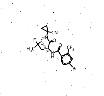 CC(C)(F)C[C@H](NC(=O)c1ccc(Br)cc1C(F)(F)F)C(=O)NC1(C#N)CC1